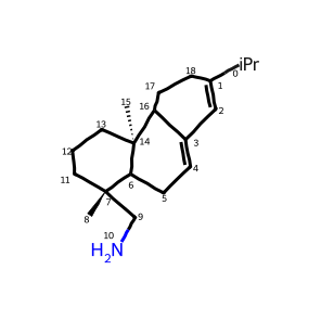 CC(C)C1=CC2=CCC3[C@](C)(CN)CCC[C@@]3(C)C2CC1